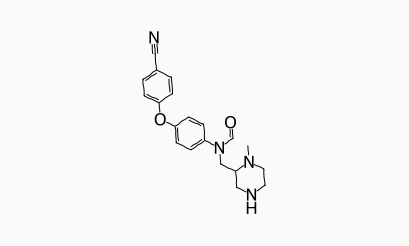 CN1CCNCC1CN(C=O)c1ccc(Oc2ccc(C#N)cc2)cc1